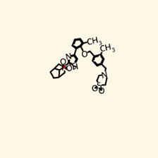 Cc1cc(CN2CCS(=O)(=O)CC2)ccc1COc1c(C)cccc1-c1csc(N2CC3CCC(C2)C3C(=O)O)n1